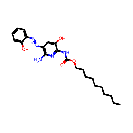 CCCCCCCCCCOC(=O)Nc1nc(N)c(/N=N/c2ccccc2O)cc1O